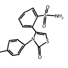 Cc1ccc(-n2c(-c3ccccc3S(N)(=O)=O)csc2=O)cc1